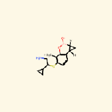 NCC(Sc1ccc2c(c1C(=O)O)OB(O)[C@@H]1C[C@H]21)C1CC1